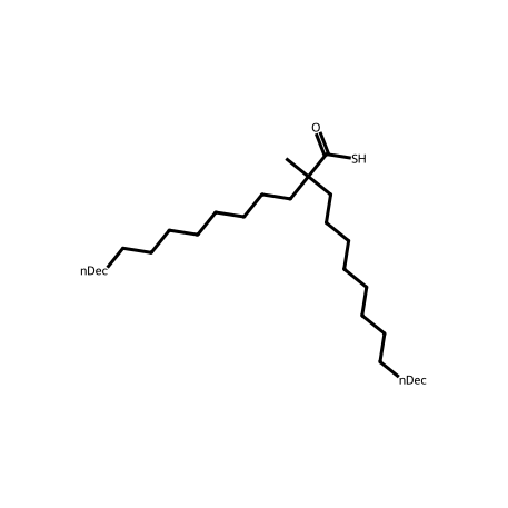 CCCCCCCCCCCCCCCCCCC(C)(CCCCCCCCCCCCCCCCCC)C(=O)S